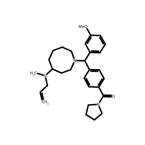 C=CCN(C)C1CCCCN(C(c2ccc(C(=O)N3CCCC3)cc2)c2cccc(OC)c2)CC1